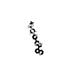 C[C@@H]1CN(C(=O)OC(C)(C)C)C[C@H](C)N1c1ccc(-c2cnc3c(-c4cccc5ncccc45)cnn3c2)cn1